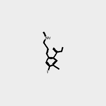 C=C(CC)c1cc(C)c(F)cc1CCCNC